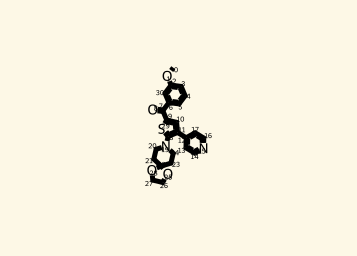 COc1cccc(C(=O)c2cc(-c3ccncc3)c(N3CCC4(CC3)OCCO4)s2)c1